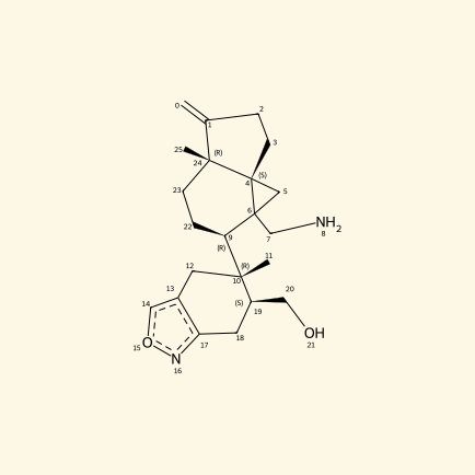 C=C1CC[C@@]23CC2(CN)[C@@H]([C@@]2(C)Cc4conc4C[C@@H]2CO)CC[C@]13C